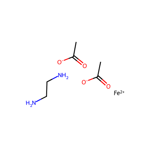 CC(=O)[O-].CC(=O)[O-].NCCN.[Fe+2]